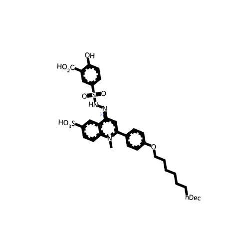 CCCCCCCCCCCCCCCCOc1ccc(-c2c/c(=N/NS(=O)(=O)c3ccc(O)c(C(=O)O)c3)c3cc(S(=O)(=O)O)ccc3n2C)cc1